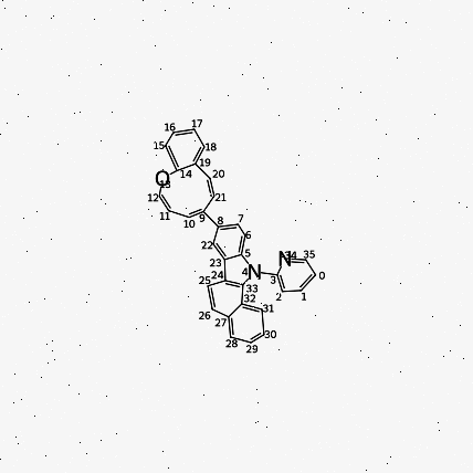 c1ccc(-n2c3ccc(-c4cccoc5ccccc5cc4)cc3c3ccc4ccccc4c32)nc1